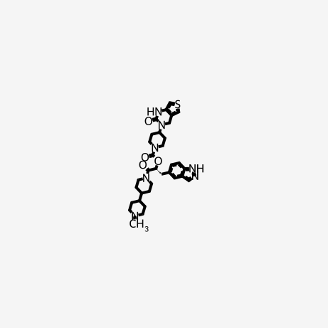 CN1CCC(C2CCN(C(=O)[C@@H](Cc3ccc4[nH]ncc4c3)OC(=O)N3CCC(N4Cc5cscc5NC4=O)CC3)CC2)CC1